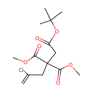 C=C(Cl)CC(CC(=O)OC(C)(C)C)(C(=O)OC)C(=O)OC